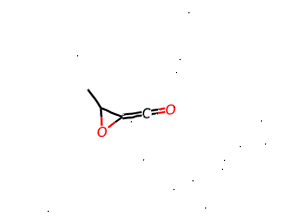 CC1OC1=C=O